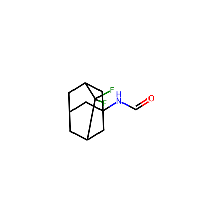 O=CNC12CC3CC(C1)C(F)(F)C(C3)C2